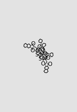 O=C1C(=Cc2cc3sc4c5sc6cc(C=C7C(=O)c8cc9ccccc9cc8C7=O)n(C(=O)OCc7ccccc7)c6c5n(C(=O)OCc5ccccc5)c4c3n2C(=O)OCc2ccccc2)C(=O)c2cc3ccccc3cc21